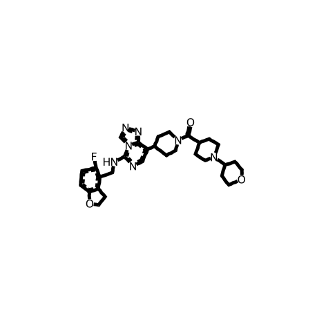 O=C(C1CCN(C2CCOCC2)CC1)N1CCC(c2cnc(NCc3c(F)ccc4c3CCO4)n3cnnc23)CC1